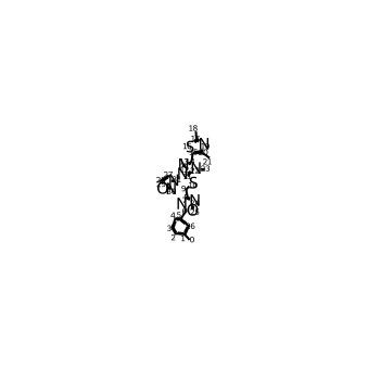 Cc1cccc(-c2nc(CSc3nnc(-c4sc(C)nc4C)n3C)no2)c1.c1conn1